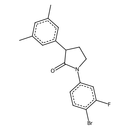 Cc1cc(C)cc(C2CCN(c3ccc(Br)c(F)c3)C2=O)c1